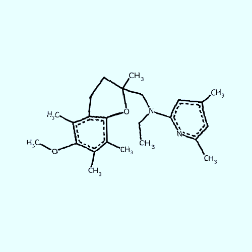 CCN(CC1(C)CCc2c(C)c(OC)c(C)c(C)c2O1)c1cc(C)cc(C)n1